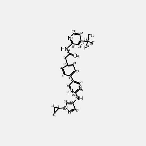 O=C(Cc1ccc(-c2cnc(Nc3cnn(C4CC4)c3)nc2)cc1)Nc1cc(C(F)(F)F)ccn1